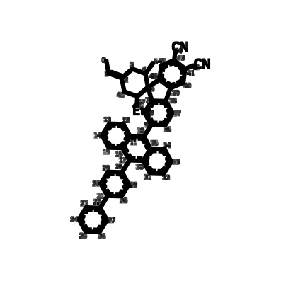 CC=C1CC(C)C2(c3cc(-c4c5ccccc5c(-c5ccc(-c6ccccc6)cc5)c5ccccc45)ccc3-c3cc(C#N)c(C#N)cc32)C(CC)C1